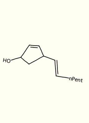 CCCCCC=CC1C=CC(O)C1